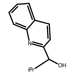 CC(C)C(O)c1ccc2ccccc2n1